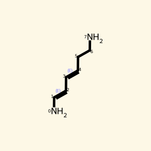 N/C=C/C=C/CCN